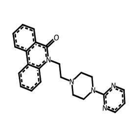 O=c1c2ccccc2c2ccccc2n1CCN1CCN(c2ncccn2)CC1